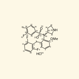 COc1cccc(Cc2c(F)cccc2F)c1N([C@H]1CCNC1)S(=O)(=O)c1ccc(C)c(F)c1.Cl